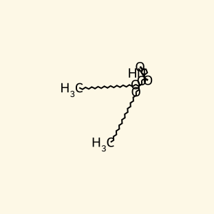 CCCCCCCCCCCCCCCCCCOCC(COC(=O)[C@@H]1CCC(=O)N1)OCCCCCCCCCCCCCCCCCC